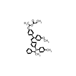 C=CC(=O)OC(C)Oc1ccc(C(=Cc2ccc(N(c3ccc(C)cc3)C(C)c3ccccc3)cc2)c2ccc(OC)cc2)cc1